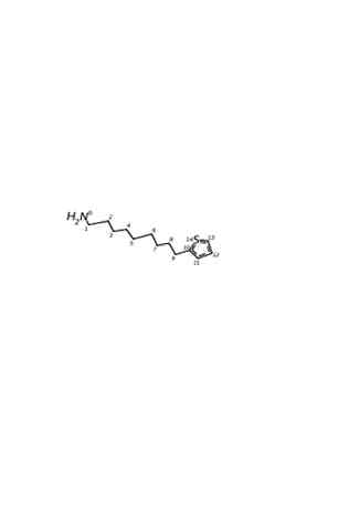 NCCCCCCCCCc1cccs1